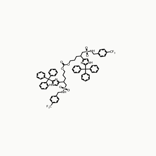 O=C(OCCCC(CS(=O)(=O)NCc1ccc(C(F)(F)F)cc1)c1c[nH]c(C(c2ccccc2)(c2ccccc2)c2ccccc2)n1)OCCCC(CS(=O)(=O)NCc1ccc(C(F)(F)F)cc1)c1c[nH]c(C(c2ccccc2)(c2ccccc2)c2ccccc2)n1